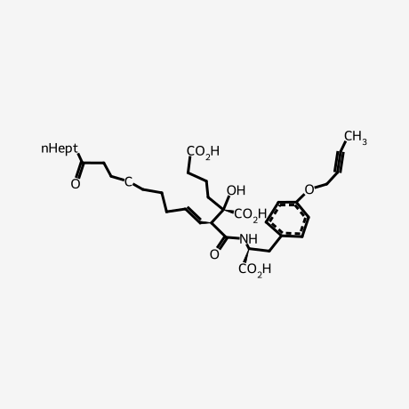 CC#CCOc1ccc(C[C@H](NC(=O)[C@@H](C=CCCCCCCC(=O)CCCCCCC)[C@@](O)(CCCC(=O)O)C(=O)O)C(=O)O)cc1